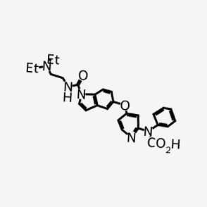 CCN(CC)CCNC(=O)n1ccc2cc(Oc3ccnc(N(C(=O)O)c4ccccc4)c3)ccc21